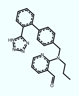 CCCN(Cc1ccc(-c2ccccc2-c2nnn[nH]2)cc1)c1ncccc1C=O